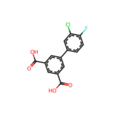 O=C(O)c1cc(C(=O)O)cc(-c2ccc(F)c(Cl)c2)c1